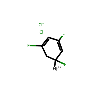 FC1=C[C](F)([Hf+2])CC(F)=C1.[Cl-].[Cl-]